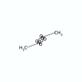 CCCCCCCCCCCCN1C(=O)c2ccc3c4c(ccc(c24)C1=O)C(=O)N(CCCCCCCCCCCC)C3=O